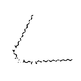 CCCCCCCCCCCCCCCC(=O)OC(O)CCC(Br)O[PH](=O)OC(Br)CCC(O)OC(=O)CCCCCCCCCCCCCCC